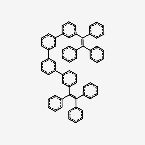 c1ccc(C(=C(c2ccccc2)c2cccc(-c3cccc(-c4cccc(-c5cccc(C(=C(c6ccccc6)c6ccccc6)c6ccccc6)c5)c4)c3)c2)c2ccccc2)cc1